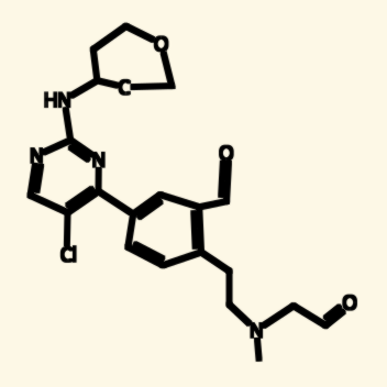 CN(CC=O)CCc1ccc(-c2nc(NC3CCOCC3)ncc2Cl)cc1C=O